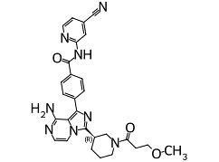 COCCC(=O)N1CCC[C@@H](c2nc(-c3ccc(C(=O)Nc4cc(C#N)ccn4)cc3)c3c(N)nccn23)C1